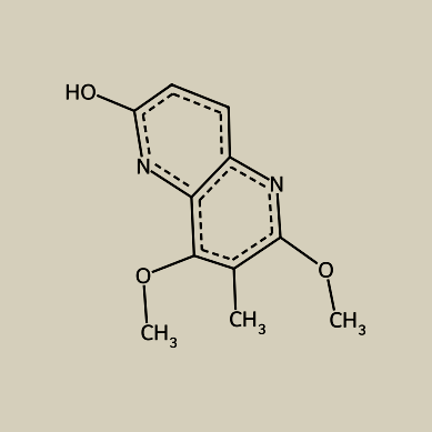 COc1nc2ccc(O)nc2c(OC)c1C